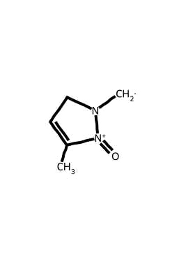 [CH2]N1CC=C(C)[N+]1=O